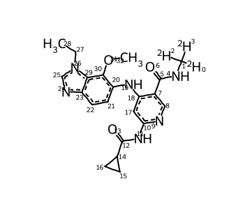 [2H]C([2H])([2H])NC(=O)c1cnc(NC(=O)C2CC2)cc1Nc1ccc2ncn(CC)c2c1OC